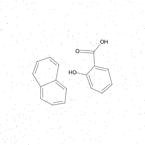 O=C(O)c1ccccc1O.c1ccc2ccccc2c1